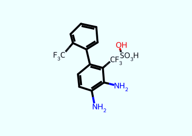 Nc1ccc(-c2ccccc2C(F)(F)F)c(C(F)(F)F)c1N.O=S(=O)(O)O